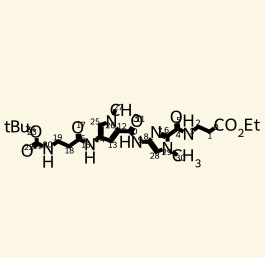 CCOC(=O)CCNC(=O)c1nc(NC(=O)c2cc(NC(=O)CCNC(=O)OC(C)(C)C)cn2C)cn1C